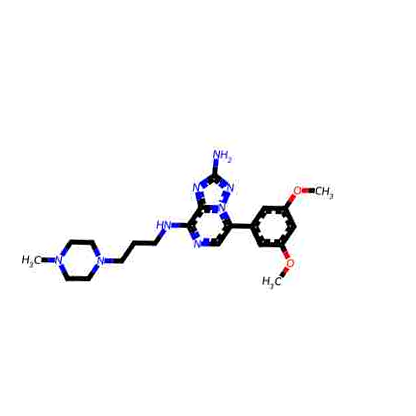 COc1cc(OC)cc(-c2cnc(NCCCN3CCN(C)CC3)c3nc(N)nn23)c1